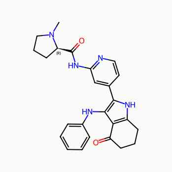 CN1CCC[C@@H]1C(=O)Nc1cc(-c2[nH]c3c(c2Nc2ccccc2)C(=O)CCC3)ccn1